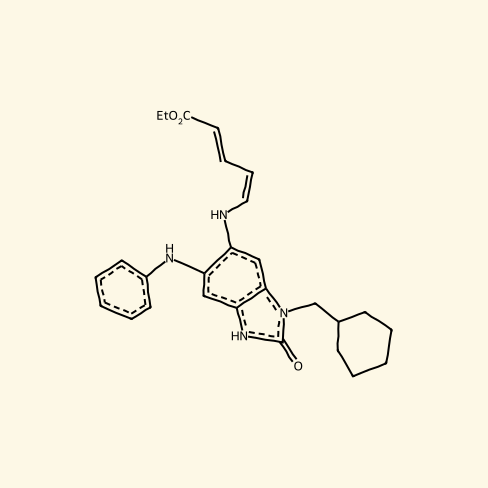 CCOC(=O)/C=C/C=C\Nc1cc2c(cc1Nc1ccccc1)[nH]c(=O)n2CC1CCCCC1